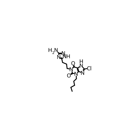 CCCCCn1c(=O)n(CCCc2nc(N)n[nH]2)c(=O)c2[nH]c(Cl)nc21